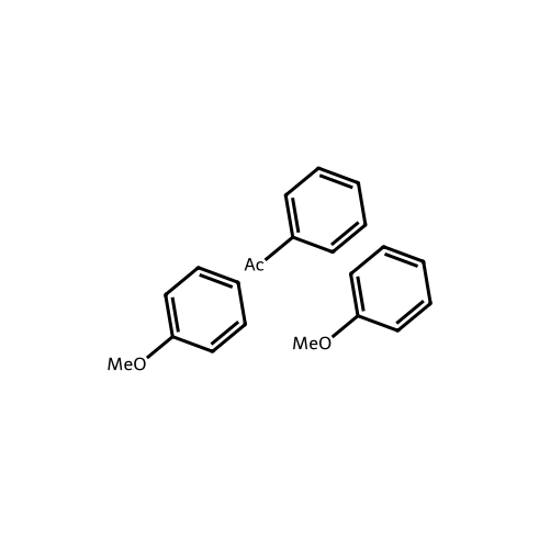 CC(=O)c1ccccc1.COc1ccccc1.COc1ccccc1